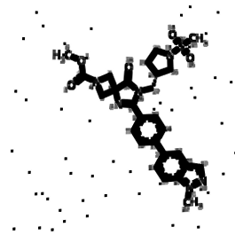 COC(=O)N1CC2(C1)N=C(c1ccc(-c3ccc4c(cnn4C)c3)cc1)N(C[C@@H]1CCN(S(C)(=O)=O)C1)C2=O